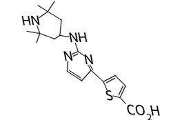 CC1(C)CC(Nc2nccc(-c3ccc(C(=O)O)s3)n2)CC(C)(C)N1